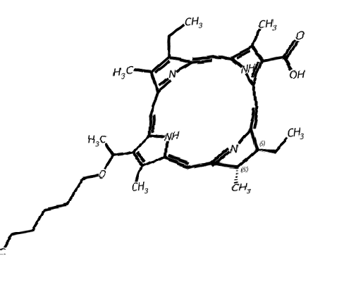 CCCCCCOC(C)c1c(C)c2cc3nc(cc4[nH]c(cc5nc(cc1[nH]2)C(C)=C5CC)c(C)c4C(=O)O)[C@@H](CC)[C@@H]3C